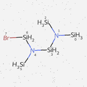 [SiH3]N([SiH3])[SiH2]N([SiH3])[SiH2]Br